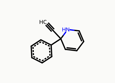 C#CC1(c2ccccc2)C=CC=CN1